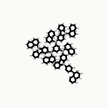 c1ccc2c(-c3ccc(-n4c5ccccc5c5cc(N(c6cc(N(c7ccc8c(c7)c7ccccc7n8-c7cccc8ccccc78)c7cccc8ccccc78)cc(N(c7ccc8c(c7)c7ccccc7n8-c7cccc8ccccc78)c7cccc8ccccc78)c6)c6cccc7ccccc67)ccc54)cc3)cccc2c1